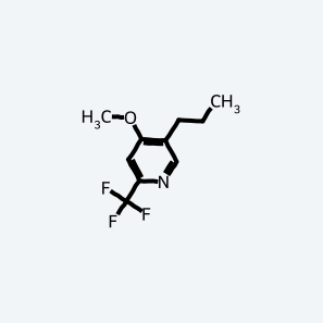 CCCc1cnc(C(F)(F)F)cc1OC